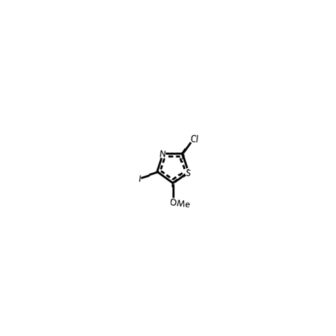 COc1sc(Cl)nc1I